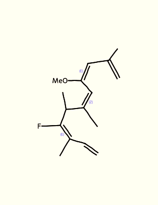 C=C/C(C)=C(/F)C(C)/C(C)=C\C(=C/C(=C)C)OC